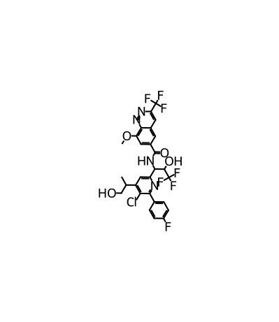 COc1cc(C(=O)NC(c2cc(C(C)CO)c(Cl)c(-c3ccc(F)cc3)n2)C(O)C(F)(F)F)cc2cc(C(F)(F)F)nnc12